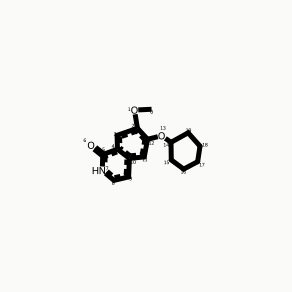 COc1cc2c(=O)[nH]ccc2cc1OC1CCCCC1